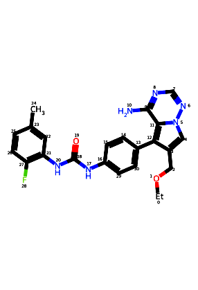 CCOCc1cn2ncnc(N)c2c1-c1ccc(NC(=O)Nc2cc(C)ccc2F)cc1